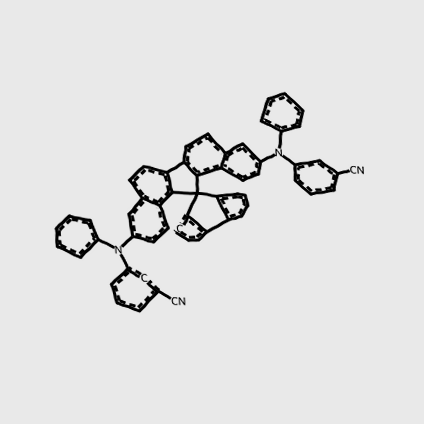 N#Cc1cccc(N(c2ccccc2)c2ccc3c4c(ccc3c2)-c2ccc3cc(N(c5ccccc5)c5cccc(C#N)c5)ccc3c2C42c3ccccc3-c3ccccc32)c1